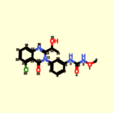 CONC(=O)Nc1cccc(-n2c(C(C)O)nc3cccc(Cl)c3c2=O)c1